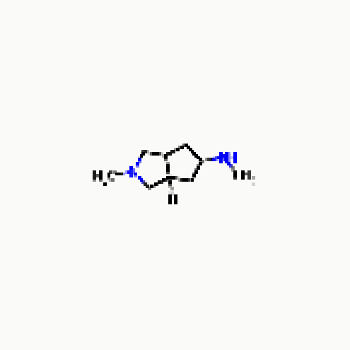 CNC1CC2CN(C)C[C@@H]2C1